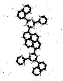 c1cnc(-c2nc(-c3cccc4ncccc34)nc(-c3ccc4ccc5c(-c6nc(-c7ncccn7)nc(-c7cccc8ncccc78)n6)ccc6ccc3c4c65)n2)nc1